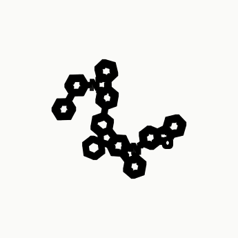 C1=C(c2ccc3c4ccccc4n(-c4cccc(-c5ccccc5)c4)c3c2)CC2C(=C1)C1(CCCCC1)c1cc3c4ccccc4n(-c4ccc5c(c4)oc4ccccc45)c3cc12